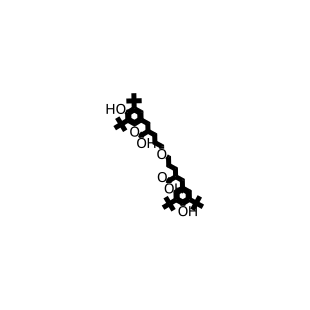 CC(C)(C)c1cc(CC(CCCOCCCC(Cc2cc(C(C)(C)C)c(O)c(C(C)(C)C)c2)C(=O)O)C(=O)O)cc(C(C)(C)C)c1O